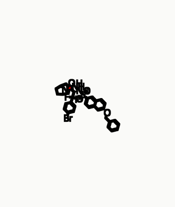 NC1CC2CCC(C1)N2C(=O)[C@H](NS(=O)(=O)c1ccc2cc(OCc3ccccc3)ccc2c1)C(F)(F)c1ccc(Br)cc1